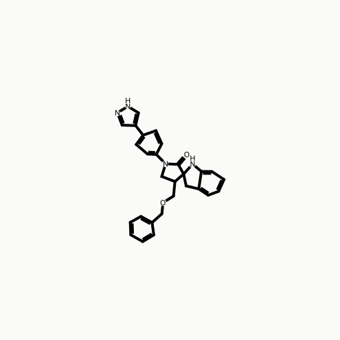 O=C1N(c2ccc(-c3cn[nH]c3)cc2)CC(COCc2ccccc2)C12Cc1ccccc1N2